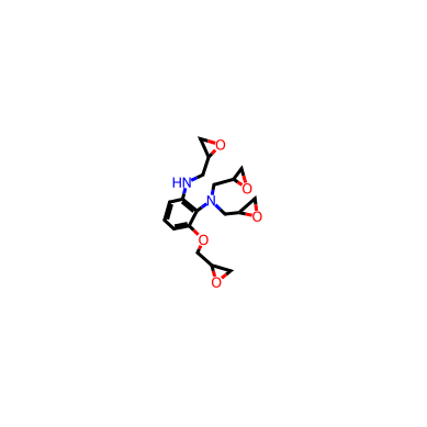 c1cc(NCC2CO2)c(N(CC2CO2)CC2CO2)c(OCC2CO2)c1